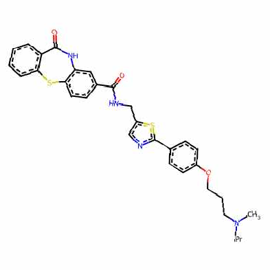 CC(C)N(C)CCCOc1ccc(-c2ncc(CNC(=O)c3ccc4c(c3)NC(=O)c3ccccc3S4)s2)cc1